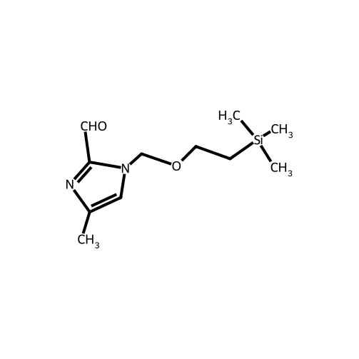 Cc1cn(COCC[Si](C)(C)C)c(C=O)n1